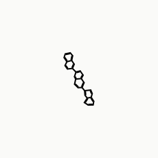 c1ccc2cc(-c3ccc4cc(-c5ccc6ccccc6c5)ccc4c3)ccc2c1